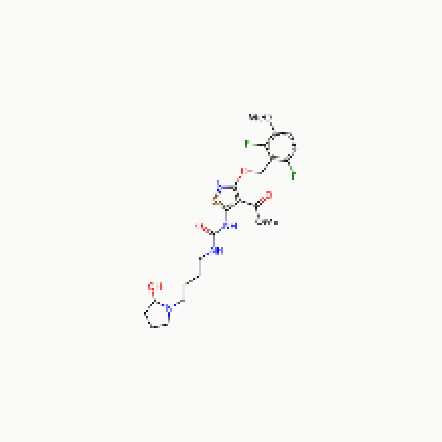 COC(=O)c1c(OCc2c(F)ccc(OC)c2F)nsc1NC(=O)NCCCCN1CCCC1O